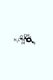 C=C(NC(C)=O)c1ccc(C#N)cc1